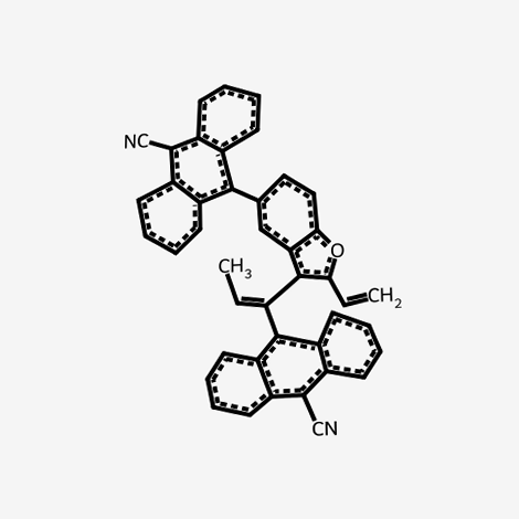 C=Cc1oc2ccc(-c3c4ccccc4c(C#N)c4ccccc34)cc2c1/C(=C\C)c1c2ccccc2c(C#N)c2ccccc12